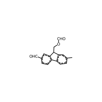 Cc1ccc2c(c1)C(COC=O)c1cc(C=O)ccc1-2